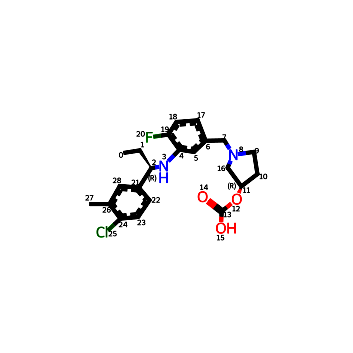 CC[C@@H](Nc1cc(CN2CC[C@@H](OC(=O)O)C2)ccc1F)c1ccc(Cl)c(C)c1